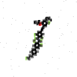 COc1cc(C)c(F)cc1C#Cc1cc(F)c(/C(F)=C(\F)c2c(F)cc(-c3ccc(CCCF)cc3)cc2F)c(F)c1